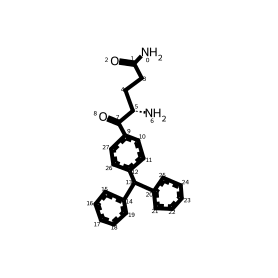 NC(=O)CC[C@H](N)C(=O)c1ccc([C](c2ccccc2)c2ccccc2)cc1